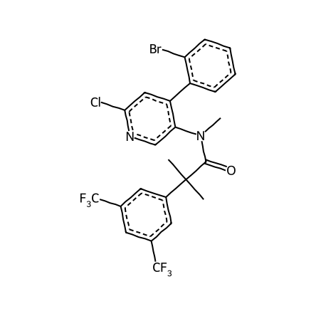 CN(C(=O)C(C)(C)c1cc(C(F)(F)F)cc(C(F)(F)F)c1)c1cnc(Cl)cc1-c1ccccc1Br